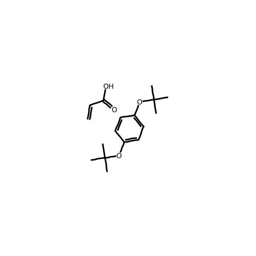 C=CC(=O)O.CC(C)(C)Oc1ccc(OC(C)(C)C)cc1